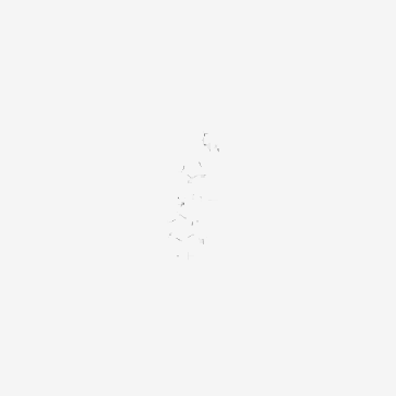 Cc1ccc(NC(O)c2ccc([N+](=O)[O-])o2)cc1C